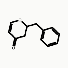 O=C1C=COC(Cc2ccccc2)C1